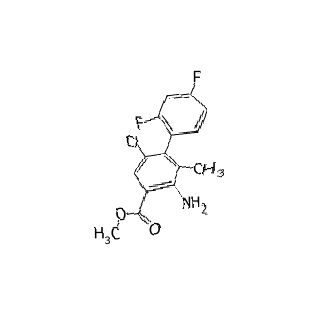 COC(=O)c1cc(Cl)c(-c2ccc(F)cc2F)c(C)c1N